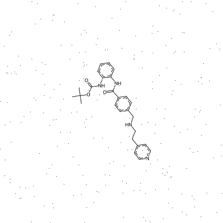 CC(C)(C)OC(=O)Nc1ccccc1NC(=O)c1ccc(CNCCc2ccncc2)cc1